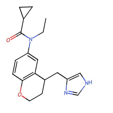 CCN(C(=O)C1CC1)c1ccc2c(c1)C(Cc1c[nH]cn1)CCO2